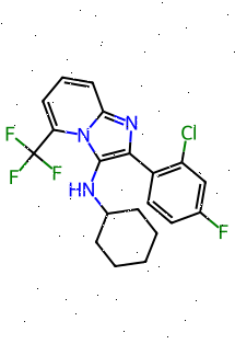 Fc1ccc(-c2nc3cccc(C(F)(F)F)n3c2NC2CCCCC2)c(Cl)c1